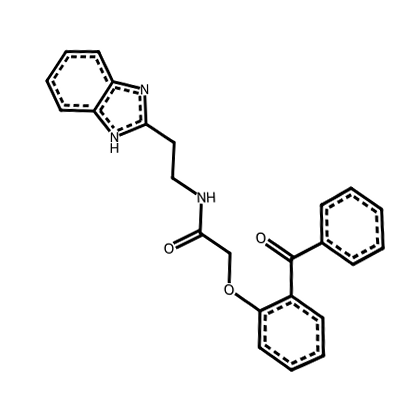 O=C(COc1ccccc1C(=O)c1ccccc1)NCCc1nc2ccccc2[nH]1